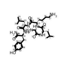 CC(C)C[C@H](NC(=O)CN)C(=O)N[C@@H](CCCCN)C(=O)N[C@@H](CC(C)C)C(=O)N[C@@H](Cc1ccc(O)cc1)C(N)=O